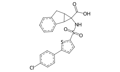 O=C(O)C1(NS(=O)(=O)c2ccc(-c3ccc(Cl)cc3)s2)C2Cc3ccccc3C21